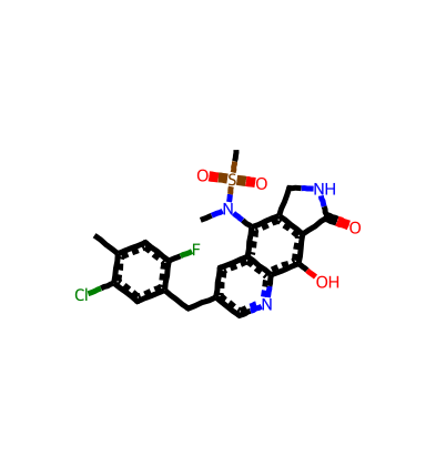 Cc1cc(F)c(Cc2cnc3c(O)c4c(c(N(C)S(C)(=O)=O)c3c2)CNC4=O)cc1Cl